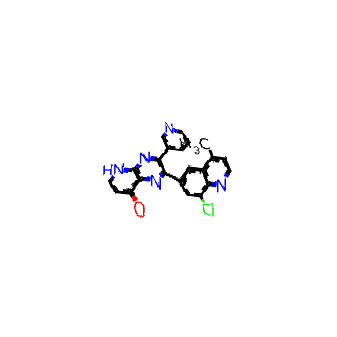 Cc1ccnc2c(Cl)cc(-c3nc4c(=O)cc[nH]c4nc3-c3cccnc3)cc12